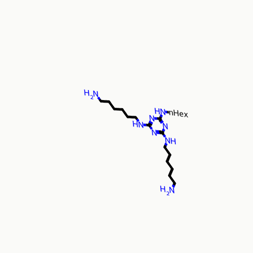 CCCCCCNc1nc(NCCCCCCN)nc(NCCCCCCN)n1